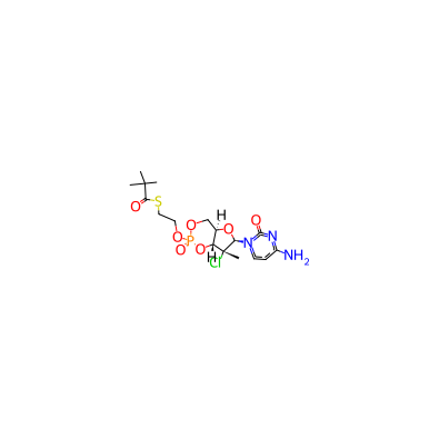 CC(C)(C)C(=O)SCCOP1(=O)OC[C@H]2O[C@@H](n3ccc(N)nc3=O)[C@](C)(Cl)[C@@H]2O1